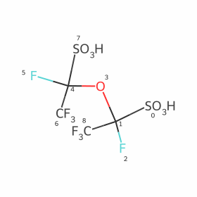 O=S(=O)(O)C(F)(OC(F)(C(F)(F)F)S(=O)(=O)O)C(F)(F)F